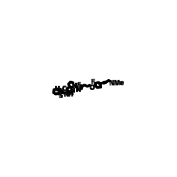 CNCC#Cc1ccc(OCCCc2cnc(N3CCCc4c3nnc(Nc3nc5ccccc5s3)c4C)s2)c(F)c1